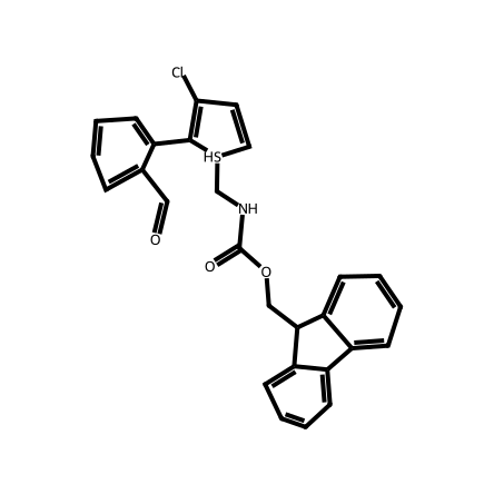 O=Cc1ccccc1C1=C(Cl)C=C[SH]1CNC(=O)OCC1c2ccccc2-c2ccccc21